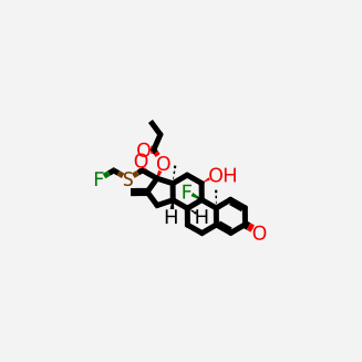 C=C1C[C@H]2[C@@H]3CCC4=CC(=O)C=C[C@]4(C)[C@@]3(F)[C@@H](O)C[C@]2(C)[C@@]1(OC(=O)CC)C(=O)SCF